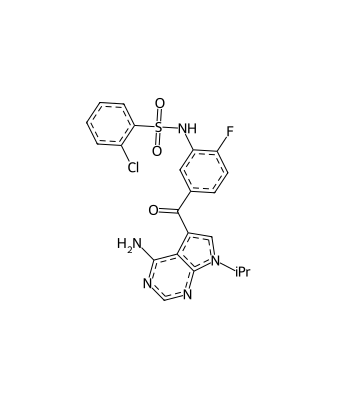 CC(C)n1cc(C(=O)c2ccc(F)c(NS(=O)(=O)c3ccccc3Cl)c2)c2c(N)ncnc21